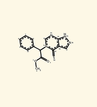 COC(=O)C(c1ccccc1)n1cnc2[nH]ncc2c1=S